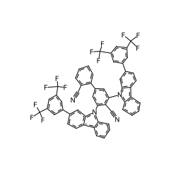 N#Cc1ccccc1-c1cc(-n2c3ccccc3c3ccc(-c4cc(C(F)(F)F)cc(C(F)(F)F)c4)cc32)c(C#N)c(-n2c3ccccc3c3ccc(-c4cc(C(F)(F)F)cc(C(F)(F)F)c4)cc32)c1